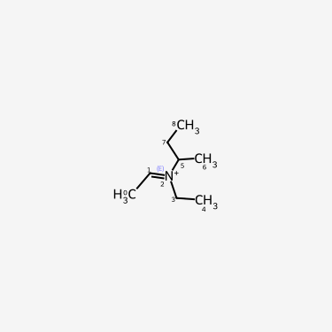 C/C=[N+](\CC)C(C)CC